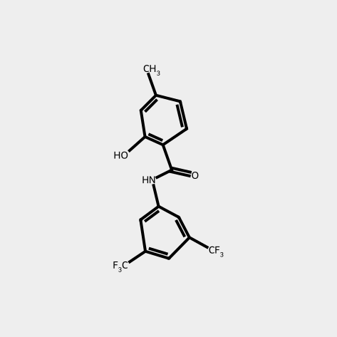 Cc1ccc(C(=O)Nc2cc(C(F)(F)F)cc(C(F)(F)F)c2)c(O)c1